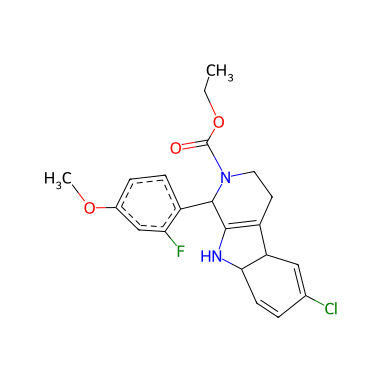 CCOC(=O)N1CCC2=C(NC3C=CC(Cl)=CC23)C1c1ccc(OC)cc1F